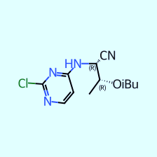 CC(C)CO[C@H](C)[C@@H](C#N)Nc1ccnc(Cl)n1